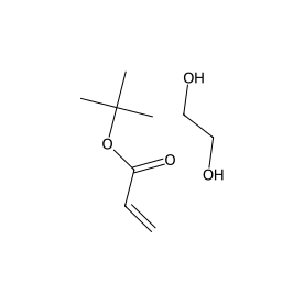 C=CC(=O)OC(C)(C)C.OCCO